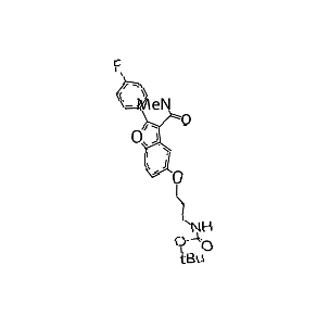 CNC(=O)c1c(-c2ccc(F)cc2)oc2ccc(OCCCNC(=O)OC(C)(C)C)cc12